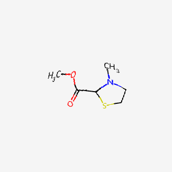 COC(=O)C1SCCN1C